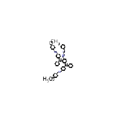 COc1ccc(/C=C/c2ccc(N(c3ccccc3)c3ccc(/C=C/C=C/c4ccccc4)c(N(c4ccccc4)c4ccc(/C=C/c5ccc(OC)cc5)cc4)c3)cc2)cc1